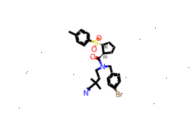 Cc1ccc(S(=O)(=O)[C@@H]2CCC[C@H]2C(=O)N(CCC(C)(C)C#N)Cc2ccc(Br)cc2)cc1